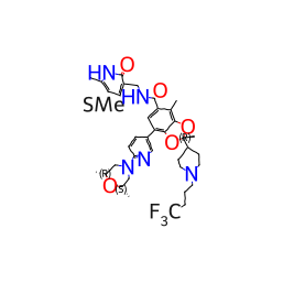 CSc1cc(C)[nH]c(=O)c1CNC(=O)c1cc(-c2ccc(N3C[C@@H](C)O[C@@H](C)C3)nc2)c2c(c1C)O[C@](C)(C1CCN(CCCC(F)(F)F)CC1)O2